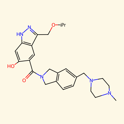 CC(C)OCc1n[nH]c2cc(O)c(C(=O)N3Cc4ccc(CN5CCN(C)CC5)cc4C3)cc12